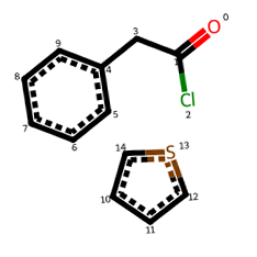 O=C(Cl)Cc1ccccc1.c1ccsc1